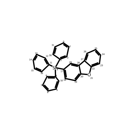 c1ccc([Si](c2ccccc2)(c2ccccc2)c2ccc3oc4ccccc4c3c2)cc1